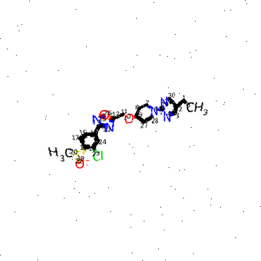 CCc1cnc(N2CCC(OCc3nc(-c4ccc([S+](C)[O-])c(Cl)c4)no3)CC2)nc1